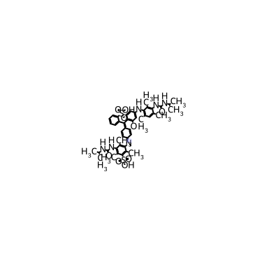 Cc1cc(C)c(Nc2ccc3c(-c4ccccc4S(=O)(=O)O)c4cc/c(=N\c5c(C)c(NC(=O)NC(C)C)c(C)c(S(=O)(=O)O)c5C)cc-4oc3c2)c(C)c1NC(=O)NC(C)C